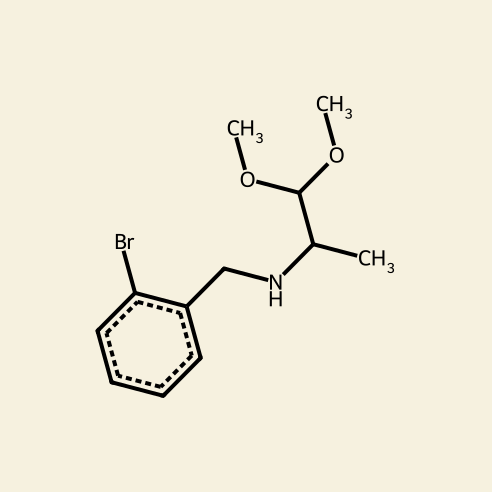 COC(OC)C(C)NCc1ccccc1Br